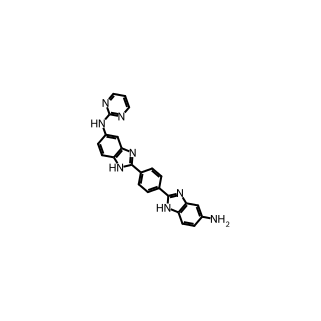 Nc1ccc2[nH]c(-c3ccc(-c4nc5cc(Nc6ncccn6)ccc5[nH]4)cc3)nc2c1